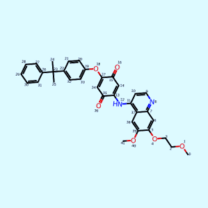 COCCOc1cc2nccc(NC3=CC(=O)C(Oc4ccc(C(C)(C)c5ccccc5)cc4)=CC3=O)c2cc1OC